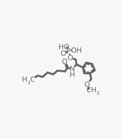 CCCCCCCC(=O)NC(COP(=O)(O)O)c1cccc(COC)c1